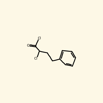 O=C(Cl)C(Cl)CCc1ccccc1